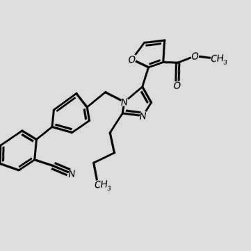 CCCCc1ncc(-c2occc2C(=O)OC)n1Cc1ccc(-c2ccccc2C#N)cc1